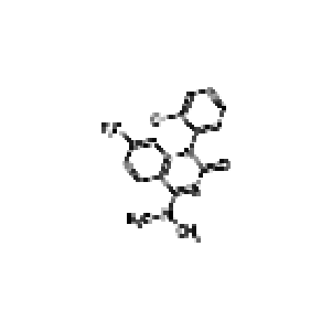 CN(C)c1nc(=O)n(-c2ccccc2Cl)c2cc(C(F)(F)F)ccc12